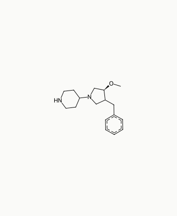 CO[C@@H]1CN(C2CCNCC2)CC1Cc1ccccc1